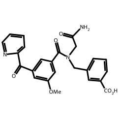 COc1cc(C(=O)c2ccccn2)cc(C(=O)N(CC(N)=O)Cc2cccc(C(=O)O)c2)c1